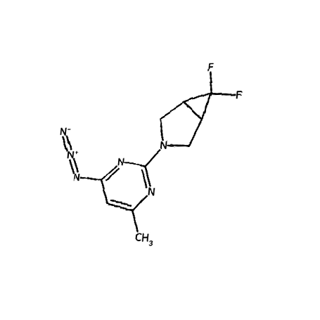 Cc1cc(N=[N+]=[N-])nc(N2CC3C(C2)C3(F)F)n1